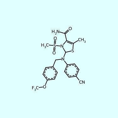 CC1=C(C(N)=O)N(S(C)(=O)=O)C(N(Cc2ccc(OC(F)(F)F)cc2)c2ccc(C#N)cc2)S1